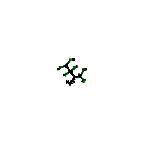 CC(=C(F)F)C(F)(F)C(F)F